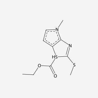 CCOC(=O)[SH]1C(SC)=Nc2c1ccn2C